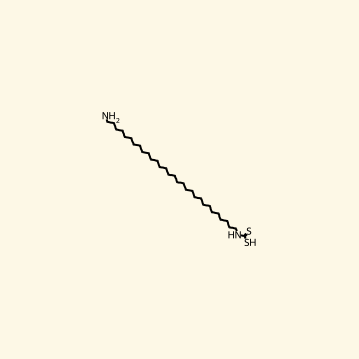 NCCCCCCCCCCCCCCCCCCCCCCCCCCCCCCNC(=S)S